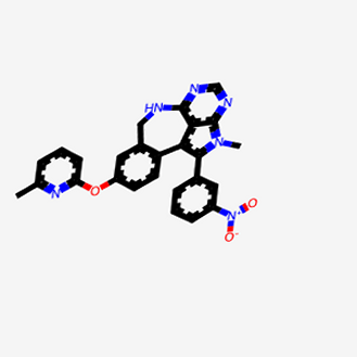 Cc1cccc(Oc2ccc3c(c2)CNc2ncnc4c2c-3c(-c2cccc([N+](=O)[O-])c2)n4C)n1